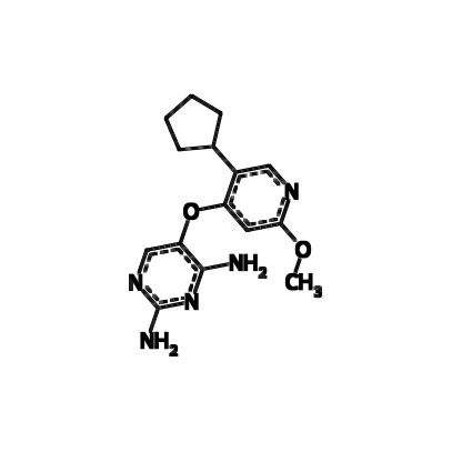 COc1cc(Oc2cnc(N)nc2N)c(C2CCCC2)cn1